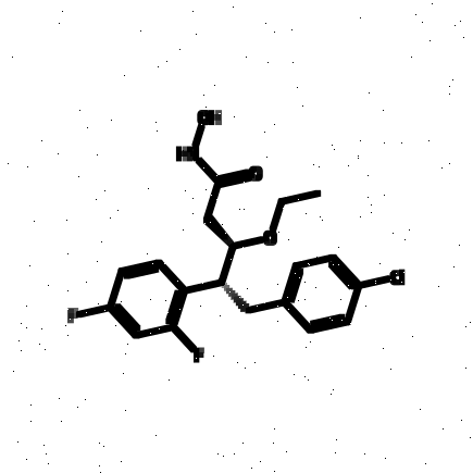 CCO[C@H](CC(=O)NO)[C@H](Cc1ccc(Cl)cc1)c1ccc(F)cc1F